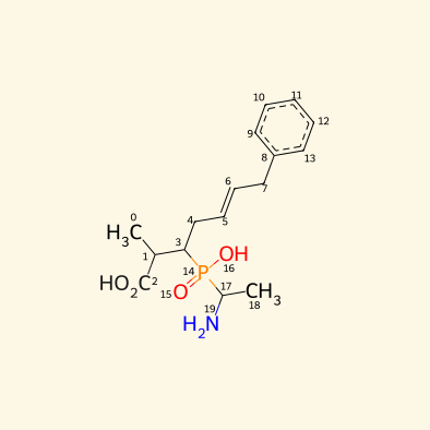 CC(C(=O)O)C(CC=CCc1ccccc1)P(=O)(O)C(C)N